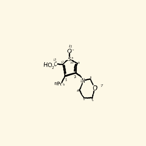 CCCc1c(N2CCCOC2)c[s+]([O-])c1C(=O)O